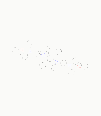 Cc1ccccc1N(c1ccc2c(c1)c1cccc3c4c(-c5ccccc5)c5c(c(-c6ccccc6)c4n2c13)c1cccc2c3cc(N(c4ccccc4C)c4c(C)ccc6c4oc4ccccc46)ccc3n5c21)c1c(C)ccc2c1oc1ccccc12